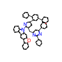 c1ccc(-c2ccc(-c3ccccc3)c(-c3cnc(-n4c5ccccc5c5cc6c(cc54)oc4ccccc46)c(Cc4cc(-c5ccccc5)nc(-c5ccccc5)n4)c3)c2)cc1